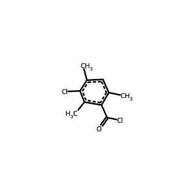 Cc1cc(C)c(C(=O)Cl)c(C)c1Cl